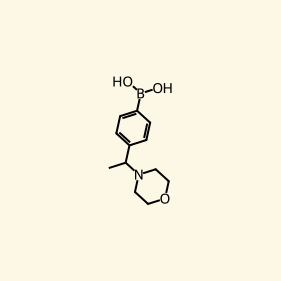 CC(c1ccc(B(O)O)cc1)N1CCOCC1